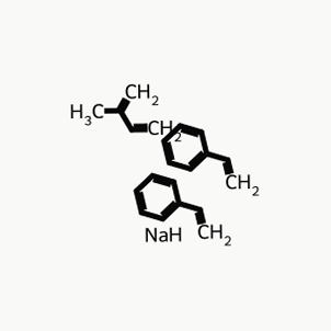 C=CC(=C)C.C=Cc1ccccc1.C=Cc1ccccc1.[NaH]